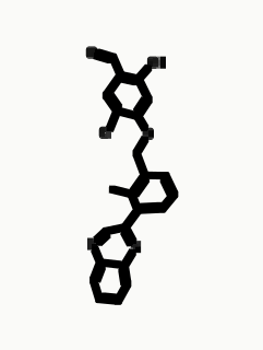 Cc1c(COc2cc(O)c(C=O)cc2Cl)cccc1-c1cnc2ccccc2n1